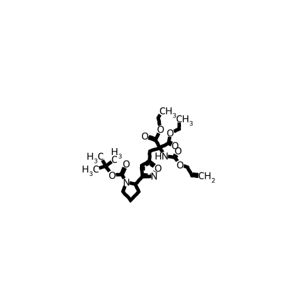 C=CCOC(=O)NC(Cc1cc(C2CCCN2C(=O)OC(C)(C)C)no1)(C(=O)OCC)C(=O)OCC